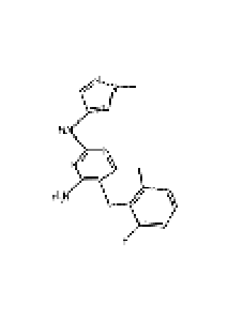 Cc1cccc(F)c1Cc1cnc(Nc2cnn(C)c2)nc1N